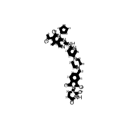 CC(=O)c1c(C)c2cnc(Nc3ccc(N4CCN(Cc5ccc6c(c5)C(=O)N(N5CCC(=O)NC5=O)C6=O)CC4)cn3)nc2n(C2CCCC2)c1=O